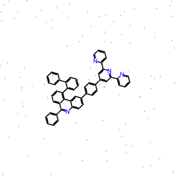 c1ccc(-c2ccccc2-c2cccc3c(-c4ccccc4)nc4ccc(-c5ccc(-c6cc(-c7ccccn7)nc(-c7ccccn7)c6)cc5)cc4c23)cc1